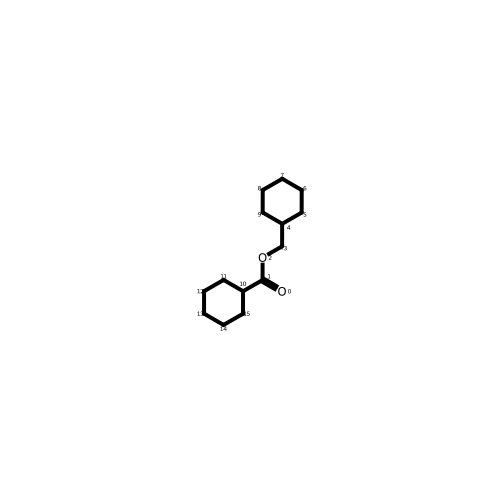 O=C(O[CH]C1CCCCC1)C1CCCCC1